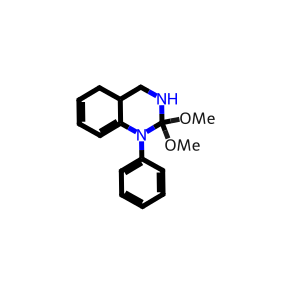 COC1(OC)NCC2CC=CC=C2N1c1ccccc1